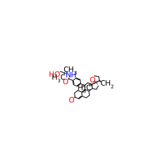 C=C1CCO[C@@]12CCC1C3CCC4=CC(=O)CCC4=C3[C@@H](c3ccc(C(=O)NC(C)(C)CO)cc3)C[C@@]12C